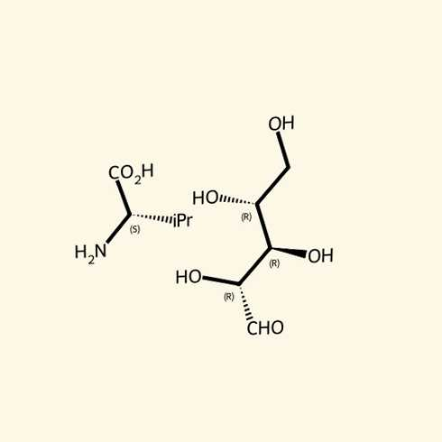 CC(C)[C@H](N)C(=O)O.O=C[C@H](O)[C@H](O)[C@H](O)CO